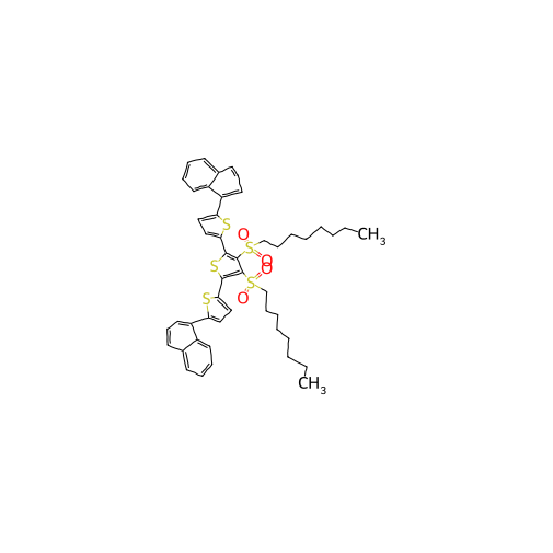 CCCCCCCCS(=O)(=O)c1c(-c2ccc(-c3cccc4ccccc34)s2)sc(-c2ccc(-c3cccc4ccccc34)s2)c1S(=O)(=O)CCCCCCCC